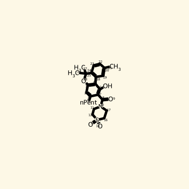 CCCCCc1cc2c(c(O)c1C(=O)N1CCS(=O)(=O)CC1)-c1cc(C)ccc1C(C)(C)O2